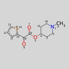 CN1CCC(OC(=O)C(=O)c2cccs2)CC1